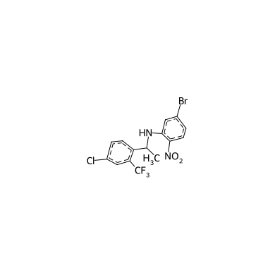 CC(Nc1cc(Br)ccc1[N+](=O)[O-])c1ccc(Cl)cc1C(F)(F)F